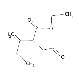 C=C(CC)C(CC=O)C(=O)OCC